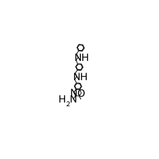 CC1Oc2ccc(CNCc3cccc(CNCc4ccccc4)c3)cc2N=C1N